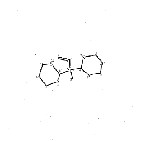 C=C[Si](C)(C1SCCCS1)C1SCCCS1